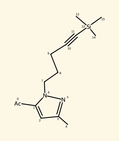 CC(=O)c1cc(C)nn1CCCC#C[Si](C)(C)C